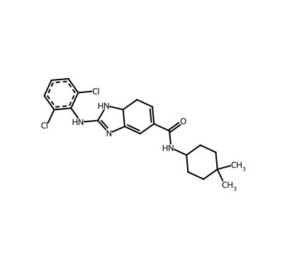 CC1(C)CCC(NC(=O)C2=CCC3NC(Nc4c(Cl)cccc4Cl)=NC3=C2)CC1